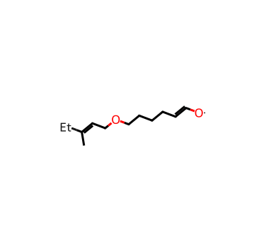 CCC(C)=CCOCCCCC=C[O]